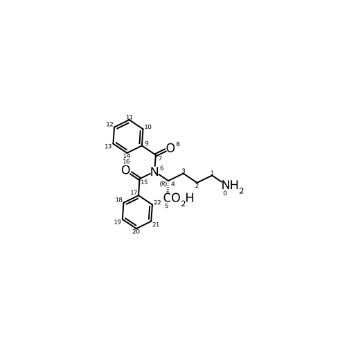 NCCC[C@H](C(=O)O)N(C(=O)c1ccccc1)C(=O)c1ccccc1